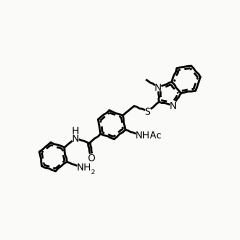 CC(=O)Nc1cc(C(=O)Nc2ccccc2N)ccc1CSc1nc2ccccc2n1C